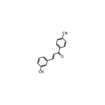 N#Cc1ccc(C(=O)C=Cc2cccc(C#N)c2)cc1